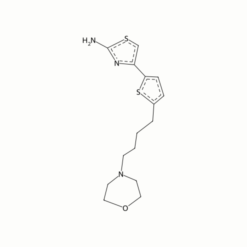 Nc1nc(-c2ccc(CCCCN3CCOCC3)s2)cs1